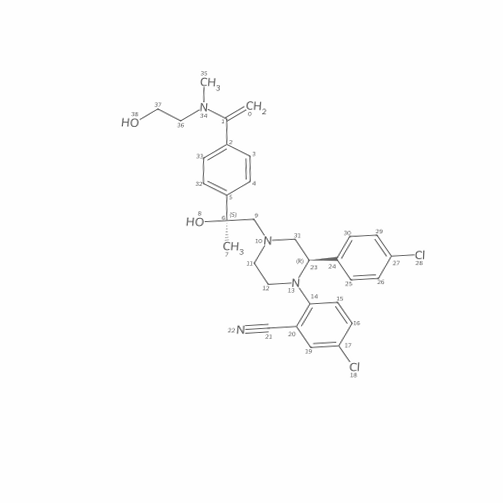 C=C(c1ccc([C@](C)(O)CN2CCN(c3ccc(Cl)cc3C#N)[C@H](c3ccc(Cl)cc3)C2)cc1)N(C)CCO